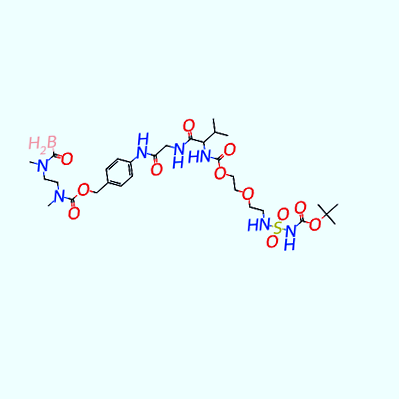 BC(=O)N(C)CCN(C)C(=O)OCc1ccc(NC(=O)CNC(=O)C(NC(=O)OCCOCCNS(=O)(=O)NC(=O)OC(C)(C)C)C(C)C)cc1